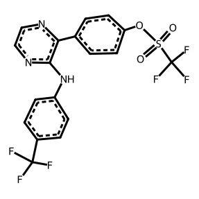 O=S(=O)(Oc1ccc(-c2nccnc2Nc2ccc(C(F)(F)F)cc2)cc1)C(F)(F)F